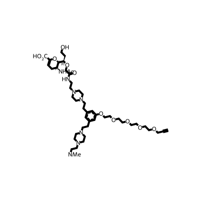 C#CCOCCOCCOCCOCCOc1cc(CCN2CCN(CCNC)CC2)cc(CCN2CCN(CCNC(=O)CO[C@H](CCO)[C@@H]3OC(C(=O)O)=CC[C@H]3NC(C)=O)CC2)c1